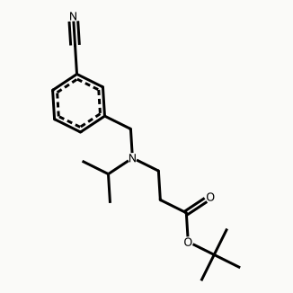 CC(C)N(CCC(=O)OC(C)(C)C)Cc1cccc(C#N)c1